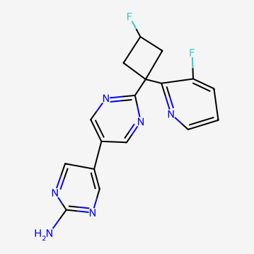 Nc1ncc(-c2cnc(C3(c4ncccc4F)CC(F)C3)nc2)cn1